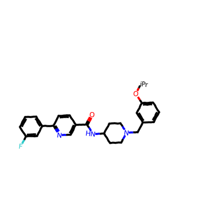 CC(C)Oc1cccc(CN2CCC(NC(=O)c3ccc(-c4cccc(F)c4)nc3)CC2)c1